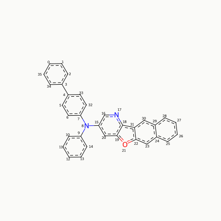 c1ccc(-c2ccc(N(c3ccccc3)c3cnc4c(c3)oc3cc5ccccc5cc34)cc2)cc1